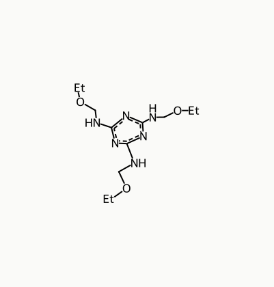 CCOCNc1nc(NCOCC)nc(NCOCC)n1